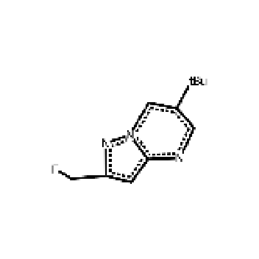 CC(C)(C)c1cnc2cc(CF)nn2c1